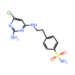 Nc1nc(Cl)cc(NCCc2ccc(S(N)(=O)=O)cc2)n1